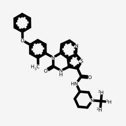 [2H]C([2H])([2H])N1CCCC(NC(=O)c2sc3nccc4c3c2NC(=O)N4c2ccc(Oc3ccccc3)cc2C)C1